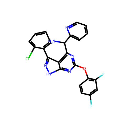 NC(c1ccccn1)c1nc(Oc2ccc(F)cc2F)nc2[nH]nc(-c3ccccc3Cl)c12